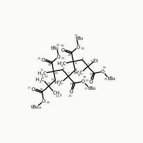 CCC(C)(CC(C)(CC(C)(CC(C)(CC(C)(C)C(=O)OC(C)(C)C)C(=O)OC(C)(C)C)C(=O)OC(C)(C)C)C(=O)OC(C)(C)C)C(=O)OC(C)(C)C